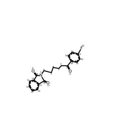 O=C(CCCCCN1C(=O)c2ccccc2C1=O)c1ccc(F)cc1